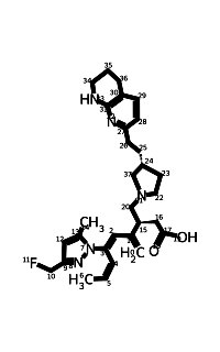 C=C(/C=C(\C=C/C)n1nc(CF)cc1C)[C@H](CC(=O)O)CN1CC[C@@H](CCc2ccc3c(n2)NCCC3)C1